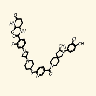 CC1CC2(CCN(C(=O)c3ccc(SC4CCN(C5CN(c6ccc(C(=O)NC7CCC(=O)NC7=O)c(F)c6)C5)CC4)nc3)CC2)CN1c1ccc(C#N)c(Cl)c1